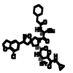 CCC[C@H](NC(=O)[C@@H]1C[C@]2(CC(c3cc(Cl)c4c(c3)CCO4)=NO2)CN1C(=O)[C@@H](NC(=O)CC1CCCCC1)C(C)(C)C)C(=O)C(=O)NC1CC1